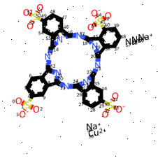 O=S(=O)([O-])c1ccc2c(c1)-c1nc-2nc2[n-]c(nc3nc(nc4[n-]c(n1)c1ccc(S(=O)(=O)[O-])cc41)-c1cccc(S(=O)(=O)[O-])c1-3)c1ccc(S(=O)(=O)[O-])cc21.[Cu+2].[Na+].[Na+].[Na+].[Na+]